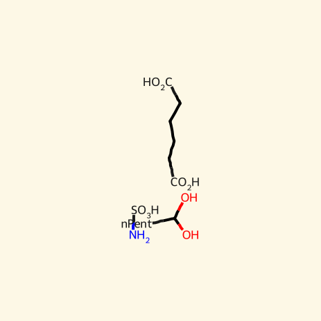 CCCCCC(O)O.NS(=O)(=O)O.O=C(O)CCCCC(=O)O